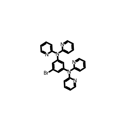 Brc1cc(N(c2ccccn2)c2ccccn2)cc(N(c2ccccn2)c2ccccn2)c1